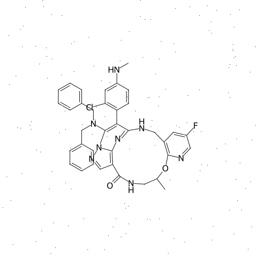 CNc1ccc(-c2c3nc4c(cnn4c2N(Cc2ccccc2)Cc2ccccc2)C(=O)NCC(C)Oc2ncc(F)cc2CN3)c(Cl)c1